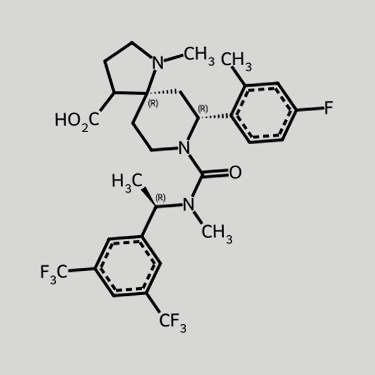 Cc1cc(F)ccc1[C@H]1C[C@]2(CCN1C(=O)N(C)[C@H](C)c1cc(C(F)(F)F)cc(C(F)(F)F)c1)C(C(=O)O)CCN2C